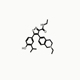 CCNC(=O)c1noc(-c2ccc(O)c(C(C)C)c2)c1-c1ccc2c(c1)CCN(CC)C2